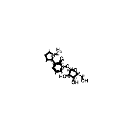 CN1CCCC1c1cccn(O[C@H]2O[C@H](CO)[C@@H](O)[C@H]2O)c1=O